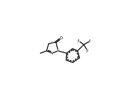 CC1=NN(c2cccc(C(F)(F)F)c2)C(=O)C1